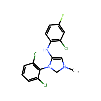 CN1C=C(Nc2ccc(F)cc2Cl)N(c2c(Cl)cccc2Cl)C1